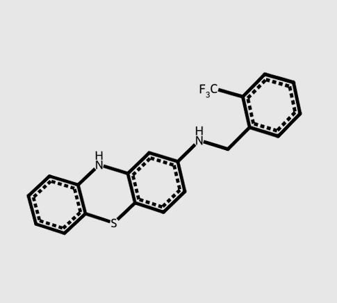 FC(F)(F)c1ccccc1CNc1ccc2c(c1)Nc1ccccc1S2